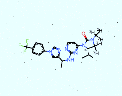 [2H]C([2H])([2H])N1C(=O)N(c2ccnc(NC(C)c3cn(-c4ccc(C(F)(F)F)cc4)cn3)n2)[C@@H](C(C)C)C1([2H])[2H]